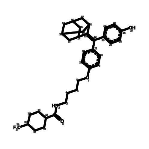 O=C(NCCCCOc1ccc(C(=C2C3CC4CC(C3)CC2C4)c2ccc(O)cc2)cc1)C1CCC(C(F)(F)F)CC1